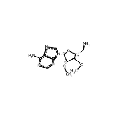 COC1[C@@H](CN)O[C@@H](n2cnc3c(N)ncnc32)[C@H]1OC